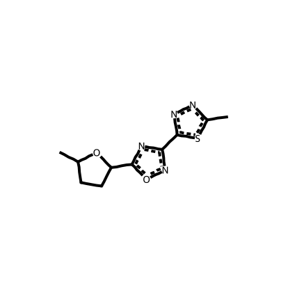 Cc1nnc(-c2noc(C3CCC(C)O3)n2)s1